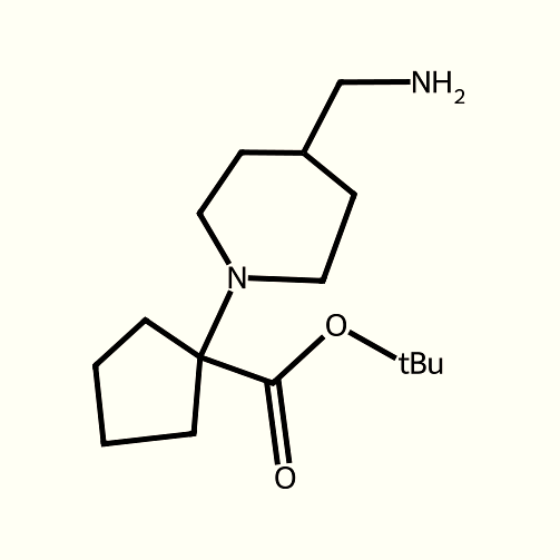 CC(C)(C)OC(=O)C1(N2CCC(CN)CC2)CCCC1